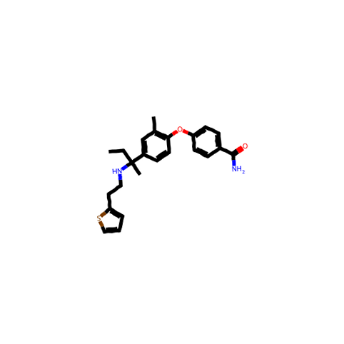 CCC(C)(NCCc1cccs1)c1ccc(Oc2ccc(C(N)=O)cc2)c(C)c1